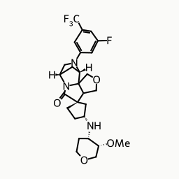 CO[C@@H]1COCC[C@@H]1N[C@@H]1CC[C@@]2(C1)C(=O)N1[C@H]3C[C@H](N(c4cc(F)cc(C(F)(F)F)c4)C3)C13COCC32